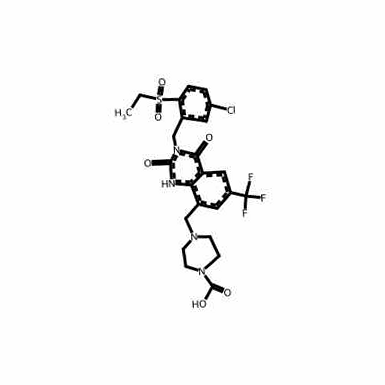 CCS(=O)(=O)c1ccc(Cl)cc1Cn1c(=O)[nH]c2c(CN3CCN(C(=O)O)CC3)cc(C(F)(F)F)cc2c1=O